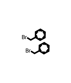 BrCc1ccccc1.BrCc1ccccc1